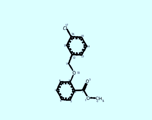 COC(=O)c1ccccc1OCc1cccc(Cl)c1